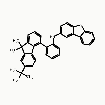 CC(C)(C)c1ccc2c(c1)C(C)(C)c1cccc(-c3ccccc3Nc3ccc4sc5ccccc5c4c3)c1-2